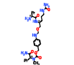 CC(C)[C@H](N)C(=O)N[C@@H](CCCNC(N)=O)COCNc1ccc(COC(=O)N(C)[C@H](C(N)=O)C(C)C)cc1